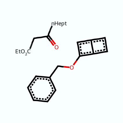 CCCCCCCC(=O)CC(=O)OCC.c1ccc(COc2cc3ccc2-3)cc1